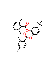 Cc1cc(C)c(C(=O)Oc2ccc(C(C)(C)C)cc2OC(=O)c2c(C)cc(C)cc2C)c(C)c1